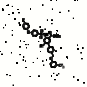 COC(=O)c1cc(-c2ccc(COc3cccc(C(F)(F)F)c3)cc2)c(C(C)C)cc1NS(=O)(=O)c1ccc(Oc2ccc(F)cc2)cc1